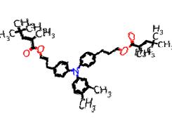 C/C(=C\C(C)(C)C)C(=O)OCCCc1ccc(N(c2ccc(CCCOC(=O)/C(C)=C/C(C)(C)C)cc2)c2ccc(C)c(C)c2)cc1